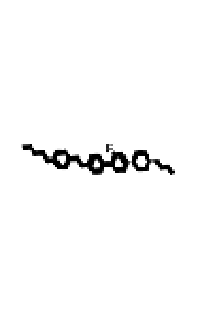 CCCCCc1ccc(CCc2ccc(-c3ccc([C@H]4CC[C@H](CCCC)CC4)cc3F)cc2)cc1